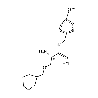 COc1ccc(CNC(=O)[C@@H](N)COCC2CCCCC2)cc1.Cl